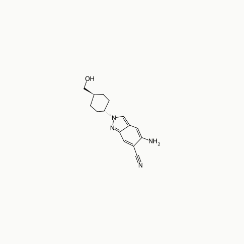 N#Cc1cc2nn([C@H]3CC[C@H](CO)CC3)cc2cc1N